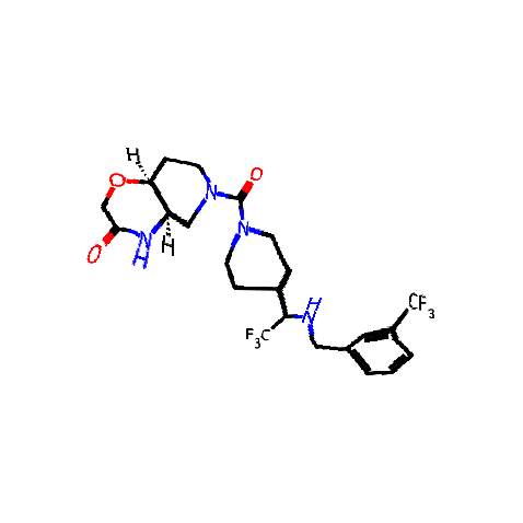 O=C1CO[C@H]2CCN(C(=O)N3CCC(C(NCc4cccc(C(F)(F)F)c4)C(F)(F)F)CC3)C[C@H]2N1